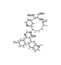 CN/C1=C(\C=N)NC(=O)C(C)CCCC(n2cnc(-c3cc(Cl)ccc3-c3ccc4c(ccn4C)c3)cc2=O)c2cc1ccn2